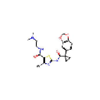 CCCc1nc(NC(=O)C2(c3ccc4c(c3)OCO4)CC2)sc1C(=O)NCCN(C)C